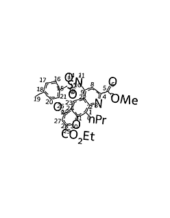 CCCc1c2nc(C(=O)OC)cc(N(C)S(=O)(=O)c3ccc(C)cc3)c2cc2c(=O)cc(C(=O)OCC)oc12